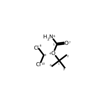 CC(C)(C)OC(N)=O.ClCCl